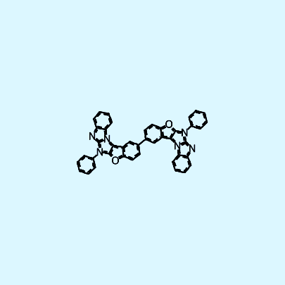 c1ccc(-n2c3oc4ccc(-c5ccc6oc7c(c6c5)n5c6ccccc6nc5n7-c5ccccc5)cc4c3n3c4ccccc4nc23)cc1